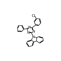 Clc1cccc(-c2nc(-c3ccccc3)nc(N3c4ccccc4C4C=CC=CC43)n2)c1